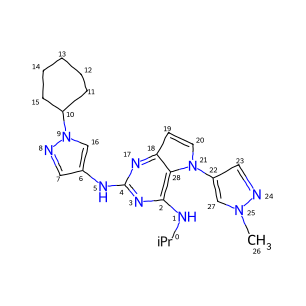 CC(C)Nc1nc(Nc2cnn(C3CCCCC3)c2)nc2ccn(-c3cnn(C)c3)c12